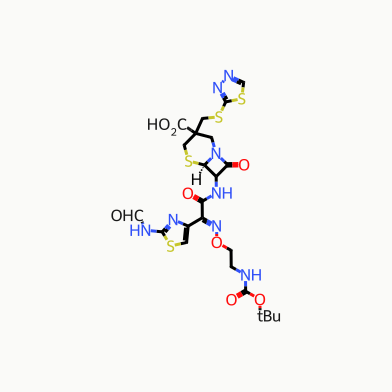 CC(C)(C)OC(=O)NCCON=C(C(=O)NC1C(=O)N2CC(CSc3nncs3)(C(=O)O)CS[C@H]12)c1csc(NC=O)n1